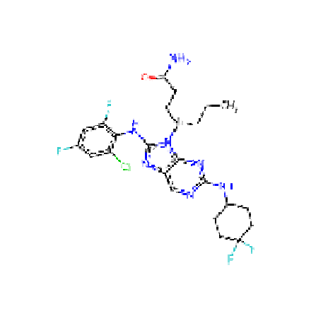 CCC[C@@H](CCC(N)=O)n1c(Nc2c(F)cc(F)cc2Cl)nc2cnc(NC3CCC(F)(F)CC3)nc21